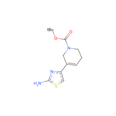 CC(C)(C)OC(=O)N1CCC=C(c2csc(N)n2)C1